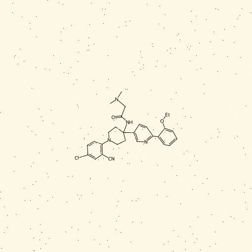 CCOc1ccccc1-c1ccc(C2(NC(=O)CN(C)C)CCN(c3ccc(Cl)cc3C#N)CC2)cn1